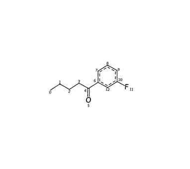 CCCCC(=O)c1cccc(F)c1